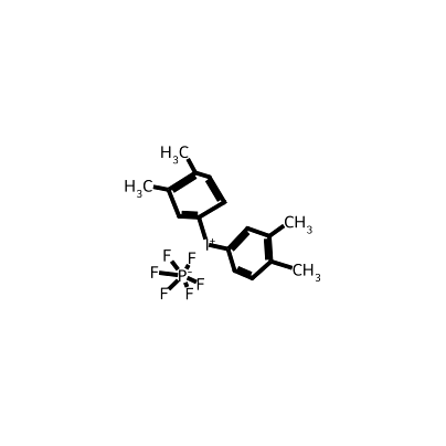 Cc1ccc([I+]c2ccc(C)c(C)c2)cc1C.F[P-](F)(F)(F)(F)F